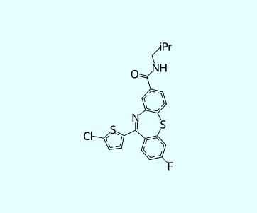 CC(C)CNC(=O)c1ccc2c(c1)N=C(c1ccc(Cl)s1)c1ccc(F)cc1S2